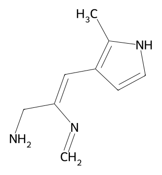 C=N/C(=C\c1cc[nH]c1C)CN